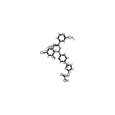 Cc1cc(/C(CC(c2ccc(-c3ccc(OC(=O)O)s3)cc2)c2ccc(Cl)cc2F)=N/O)ccn1